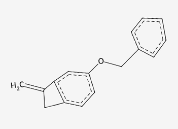 C=C1Cc2ccc(OCc3ccccc3)cc21